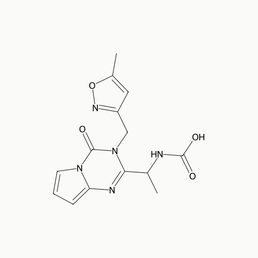 Cc1cc(Cn2c(C(C)NC(=O)O)nc3cccn3c2=O)no1